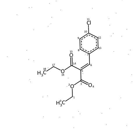 CCOC(=O)C(=Cc1ccc(Cl)cc1)C(=O)OCC